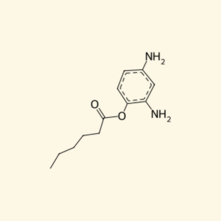 CCCCCC(=O)Oc1ccc(N)cc1N